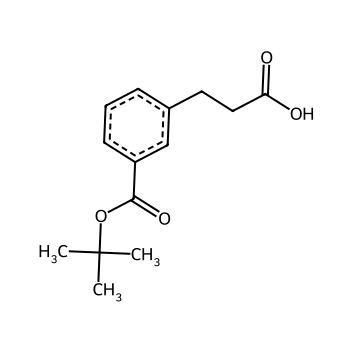 CC(C)(C)OC(=O)c1cccc(CCC(=O)O)c1